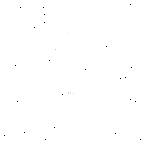 O=C1NC(=S)SC1=Cc1ccc2nccnc2c1